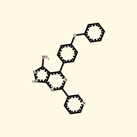 Nc1n[nH]c2nc(-c3cccnc3)nc(-c3ccc(Oc4ccccc4)cc3)c12